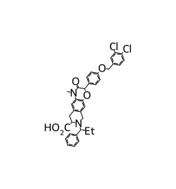 CC[C@@H](c1ccccc1)N1Cc2cc3c(cc2CC1C(=O)O)N(C)C(=O)C(c1ccc(OCc2ccc(Cl)c(Cl)c2)cc1)O3